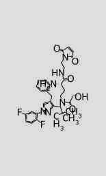 CC(C)(C)[C@H](c1nn(-c2cc(F)ccc2F)cc1Cc1ccccc1)N(CC[C@H](N)C(=O)NCCN1C(=O)C=CC1=O)C(=O)CO